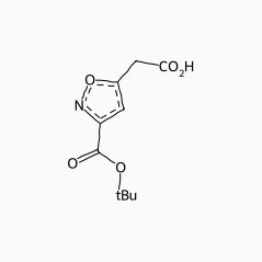 CC(C)(C)OC(=O)c1cc(CC(=O)O)on1